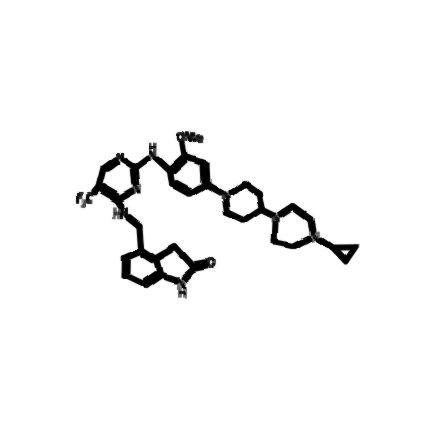 COc1cc(N2CCC(N3CCN(C4CC4)CC3)CC2)ccc1Nc1ncc(C(F)(F)F)c(NCc2cccc3c2CC(=O)N3)n1